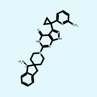 Cc1cccc(C2(c3n[nH]c4nc(N5CCC6(CC5)Cc5ccccc5[C@H]6N)[nH]c(=O)c34)CC2)n1